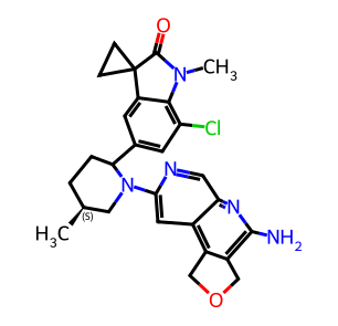 C[C@H]1CCC(c2cc(Cl)c3c(c2)C2(CC2)C(=O)N3C)N(c2cc3c4c(c(N)nc3cn2)COC4)C1